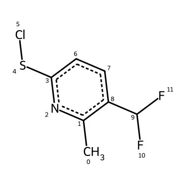 Cc1nc(SCl)ccc1C(F)F